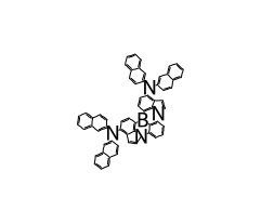 c1cc2c3c(c1)-n1ccc4c(N(c5ccc6ccccc6c5)c5ccc6ccccc6c5)ccc(c41)B3c1ccc(N(c3ccc4ccccc4c3)c3ccc4ccccc4c3)c3ccn-2c13